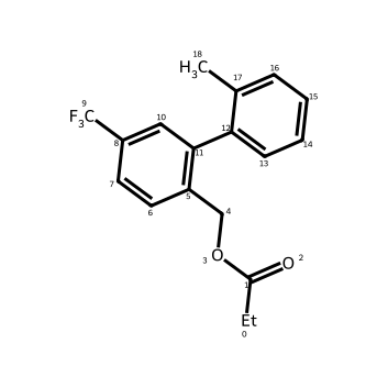 CCC(=O)OCc1ccc(C(F)(F)F)cc1-c1ccccc1C